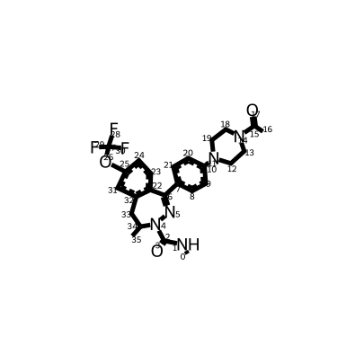 CNC(=O)N1N=C(c2ccc(N3CCN(C(C)=O)CC3)cc2)c2ccc(OC(F)(F)F)cc2CC1C